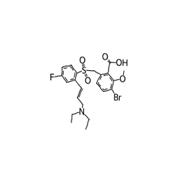 CCN(CC)C/C=C/c1cc(F)ccc1S(=O)(=O)Cc1ccc(Br)c(OC)c1C(=O)O